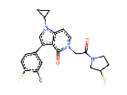 O=C(Cn1ccc2c(c(-c3ccc(F)c(Cl)c3)cn2C2CC2)c1=O)N1CCC(F)C1